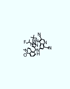 CC(CF)n1cc(C(Nc2cc(C#N)c3ncc(C#N)c(NCC(C)(C)C)c3c2)c2cccc3c(=O)n(C)ccc23)nn1